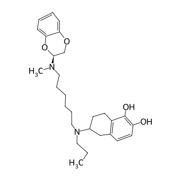 CCCN(CCCCCCN(C)[C@@H]1COc2ccccc2O1)C1CCc2c(ccc(O)c2O)C1